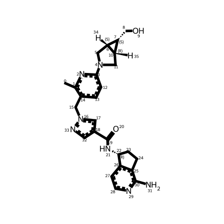 Cc1nc(N2C[C@@H]3[C@H](CO)[C@@H]3C2)ccc1Cn1cc(C(=O)N[C@@H]2CCc3c2ccnc3N)cn1